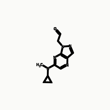 CN(c1cnc2cnn(CC=O)c2n1)C1CC1